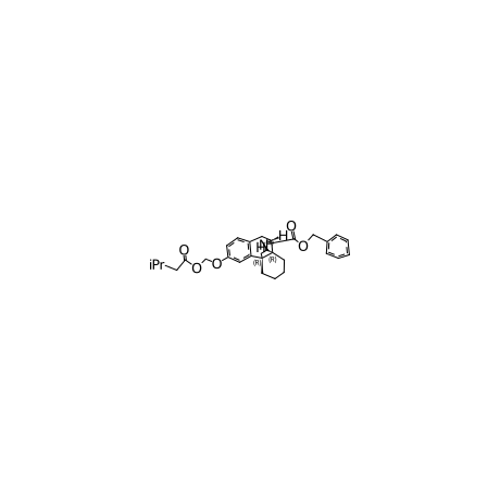 CC(C)CC(=O)OCOc1ccc2c(c1)[C@@]13CCCC[C@H]1[C@@H](C2)N(C(=O)OCc1ccccc1)CC3